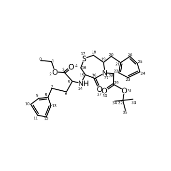 CCOC(=O)C(CCc1ccccc1)NC1CSCC(Cc2ccccc2)N(CC(=O)OC(C)(C)C)C1=O